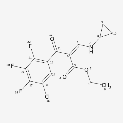 CCOC(=O)/C(=C\NC1CC1)C(=O)c1cc(Cl)c(F)c(F)c1F